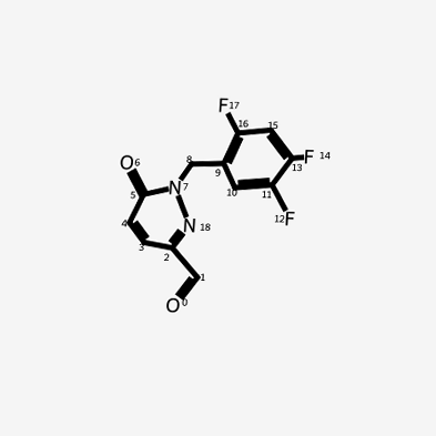 O=Cc1ccc(=O)n(Cc2cc(F)c(F)cc2F)n1